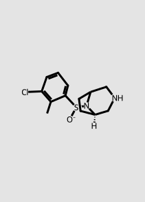 Cc1c(Cl)cccc1[S+]([O-])N1C2CC[C@@H]1CNC2